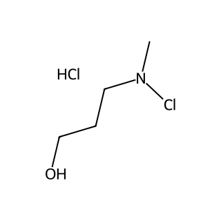 CN(Cl)CCCO.Cl